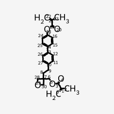 C=C(C)C(=O)OCC1(CCc2ccc(-c3ccc(OC(=O)C(=C)C)cc3)cc2)COC1